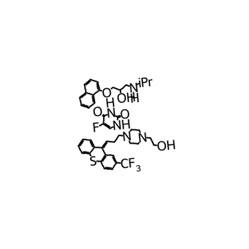 CC(C)NCC(O)COc1cccc2ccccc12.O=c1[nH]cc(F)c(=O)[nH]1.OCCN1CCN(CC/C=C2/c3ccccc3Sc3ccc(C(F)(F)F)cc32)CC1